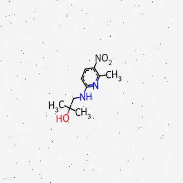 Cc1nc(NCC(C)(C)O)ccc1[N+](=O)[O-]